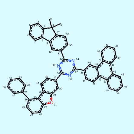 CC1(C)c2ccccc2-c2cc(-c3nc(-c4ccc5c(c4)oc4cccc(-c6ccccc6)c45)nc(-c4ccc5c6ccccc6c6ccccc6c5c4)n3)ccc21